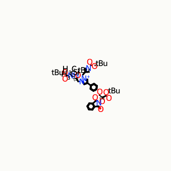 CC(C)(C)OC(=O)NC[C@@H](Cn1cc(-c2ccc(OC[C@H](ON3C(=O)c4ccccc4C3=O)C(=O)OC(C)(C)C)cc2)c[n+]1CC1CN(C(=O)OC(C)(C)C)C1)O[Si](C)(C)C(C)(C)C